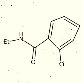 C[CH]NC(=O)c1ccccc1Cl